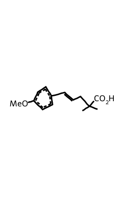 COc1ccc(C=CCC(C)(C)C(=O)O)cc1